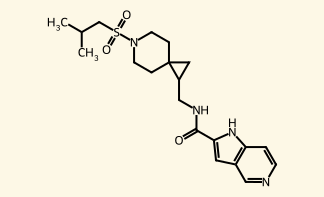 CC(C)CS(=O)(=O)N1CCC2(CC1)CC2CNC(=O)c1cc2cnccc2[nH]1